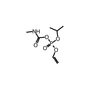 C=COP(=O)(OC(=O)NC)OC(C)C